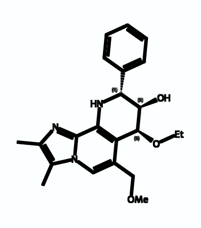 CCO[C@H]1c2c(COC)cn3c(C)c(C)nc3c2N[C@H](c2ccccc2)[C@H]1O